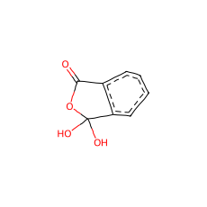 O=C1OC(O)(O)c2ccccc21